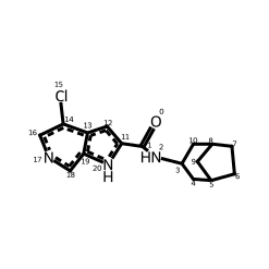 O=C(NC1CC2CCC(C2)C1)c1cc2c(Cl)cncc2[nH]1